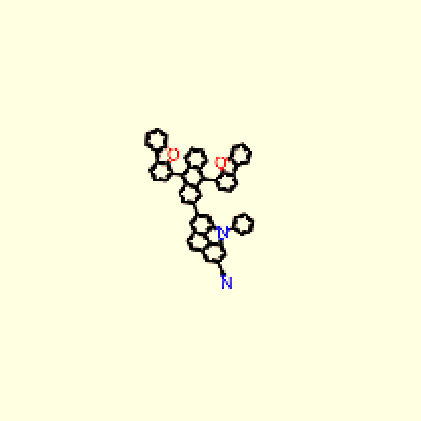 N#Cc1cc2ccc3cc(-c4ccc5c(-c6cccc7c6oc6ccccc67)c6ccccc6c(-c6cccc7c6oc6ccccc67)c5c4)cc4c3c2c(c1)n4-c1ccccc1